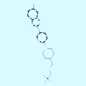 CC(C)(COCC1CCN(c2ccc(-c3nc4cc(Cl)ccc4[nH]3)cn2)CC1)C(=O)O